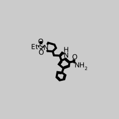 CCS(=O)(=O)N1CCCC(Cc2c[nH]c3c(C(N)=O)cc(-c4ccccc4)cc23)C1